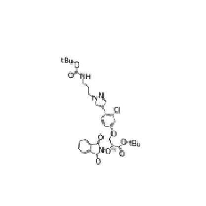 CC(C)(C)OC(=O)NCCCn1cc(-c2ccc(OC[C@H](ON3C(=O)c4ccccc4C3=O)C(=O)OC(C)(C)C)cc2Cl)cn1